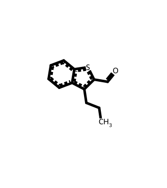 CCCc1c(C=O)sc2ccccc12